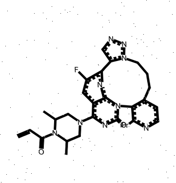 C=CC(=O)N1C(C)CN(c2nc(=O)n3c4nc(c(F)cc24)-c2cnnn2CCCc2ccnc(C(C)C)c2-3)CC1C